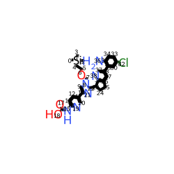 C[Si](C)(C)CCOCn1cc(-c2ccc(NC(=O)O)nc2)nc1C1CCc2cc(-c3cc(Cl)ccc3N)cnc21